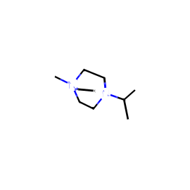 CC(C)[N+]12CC[N+](C)(CC1)CC2